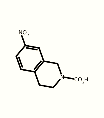 O=C(O)N1CCc2ccc([N+](=O)[O-])cc2C1